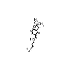 C=CCCNCc1ccc2c(c1)CC(C)(C)O2